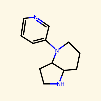 c1cncc(N2CCCC3NCCC32)c1